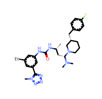 CCc1cc(NC(=O)N[C@H](C)C[C@@H](N(C)C)N2CCC[C@@H](Cc3ccc(F)cc3)C2)cc(-c2nnnn2C)c1